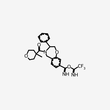 CC1(C(=O)N2Cc3ccc(C(=N)OC(=N)C(F)(F)F)cc3OCC2c2ccccc2)CCOCC1